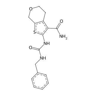 NC(=O)c1c(NC(=O)NCc2ccccc2)sc2c1CCOC2